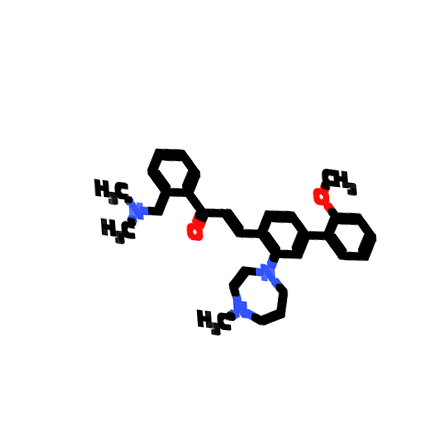 COc1ccccc1-c1ccc(C=CC(=O)c2ccccc2CN(C)C)c(N2CCCN(C)CC2)c1